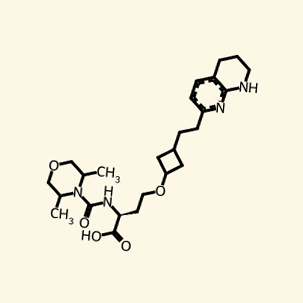 CC1COCC(C)N1C(=O)N[C@@H](CCOC1CC(CCc2ccc3c(n2)NCCC3)C1)C(=O)O